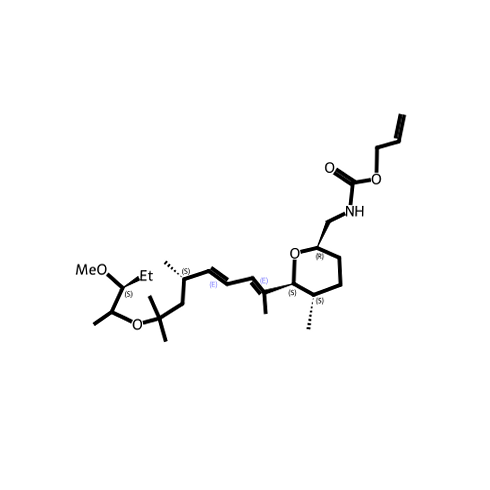 C=CCOC(=O)NC[C@H]1CC[C@H](C)[C@@H](/C(C)=C/C=C/[C@@H](C)CC(C)(C)OC(C)[C@H](CC)OC)O1